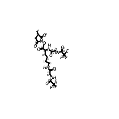 CC1CC(=O)N(OC(=O)C(CCCCNC(=O)CNC(=O)C(F)(F)F)NC(=O)CNC(=O)C(F)(F)F)C1=O